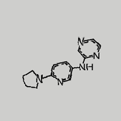 c1cnc(Nc2ccc(N3CCCC3)nc2)cn1